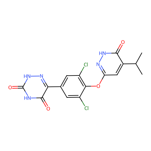 CC(C)c1cc(Oc2c(Cl)cc(-c3n[nH]c(=O)[nH]c3=O)cc2Cl)n[nH]c1=O